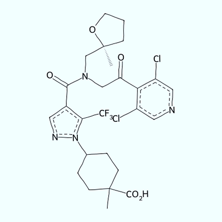 CC1(C(=O)O)CCC(n2ncc(C(=O)N(CC(=O)c3c(Cl)cncc3Cl)C[C@]3(C)CCCO3)c2C(F)(F)F)CC1